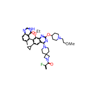 C=C(F)C(=O)N1CC2(CCN(c3nc(OC4CCN(CCOC)CC4)nc4c(OCC)c(-c5c(C)ccc6nc[nH]c(=O)c56)c(C5CC5)cc34)CC2)C1